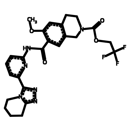 COc1cc2c(cc1C(=O)Nc1cccc(-c3nnc4n3CCCC4)n1)CN(C(=O)OCC(F)(F)F)CC2